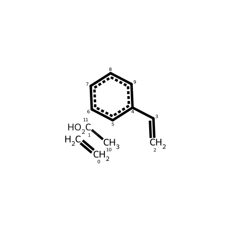 C=C.C=Cc1ccccc1.CC(=O)O